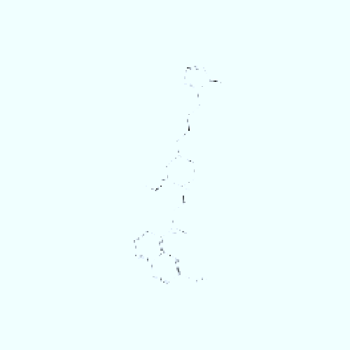 COc1ccc2nccc([C@H](F)CC[C@@H]3CCN(CCCCc4cccn4C)C[C@@H]3CC(=O)O)c2c1